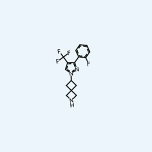 Fc1ccccc1-c1nn(C2CC3(CNC3)C2)cc1C(F)(F)F